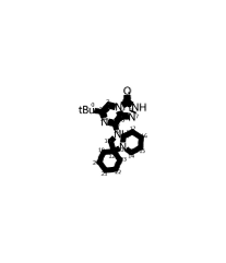 CC(C)(C)c1cn2c(=O)[nH]nc2c(NCC2(N3CCCCC3)CCCCC2)n1